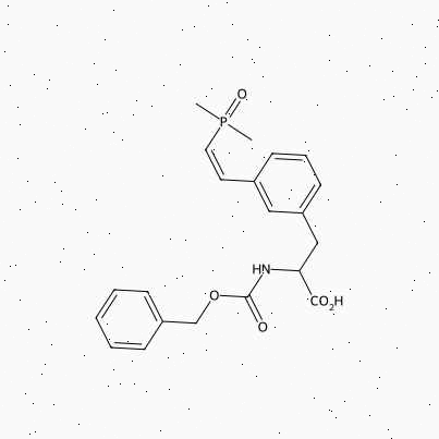 CP(C)(=O)/C=C\c1cccc(CC(NC(=O)OCc2ccccc2)C(=O)O)c1